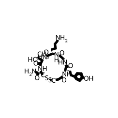 C[C@@H](O)[C@@H]1NC(=O)[C@H](CCCCN)NC(=O)CNC(=O)[C@H](CCc2ccc(O)cc2)NC(=O)CCSSC[C@@H](C(N)=O)NC1=O